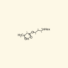 CCCCCCCCCOC(=O)CC(C)O